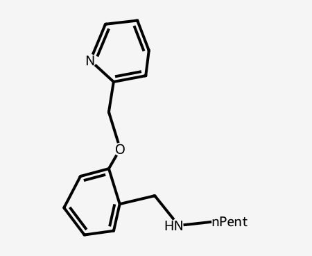 CCCCCNCc1ccccc1OCc1ccccn1